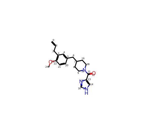 C=CCc1cc(CC2CCN(C(=O)c3c[nH]cn3)CC2)ccc1OC